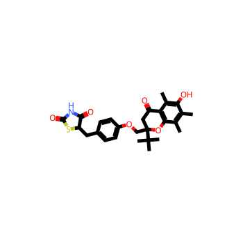 Cc1c(C)c2c(c(C)c1O)C(=O)CC(COc1ccc(CC3SC(=O)NC3=O)cc1)(C(C)(C)C)O2